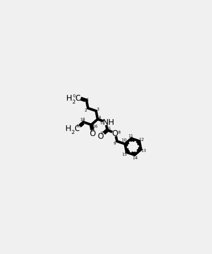 C=CCCC(NC(=O)OCc1ccccc1)C(=O)C=C